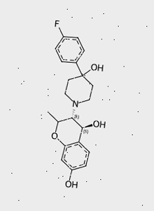 CC1Oc2cc(O)ccc2[C@H](O)[C@H]1N1CCC(O)(c2ccc(F)cc2)CC1